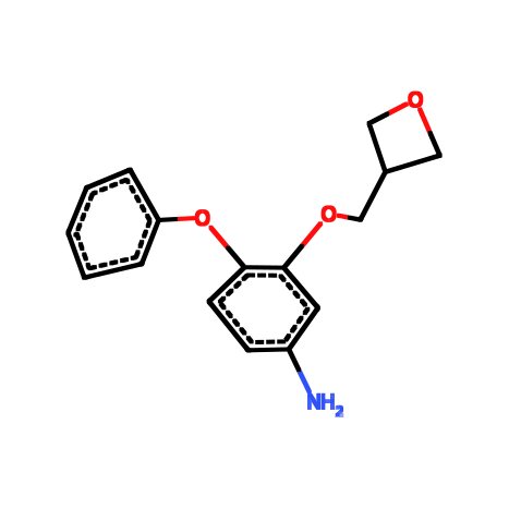 Nc1ccc(Oc2ccccc2)c(OCC2COC2)c1